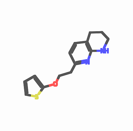 c1csc(OCCc2ccc3c(n2)NCCC3)c1